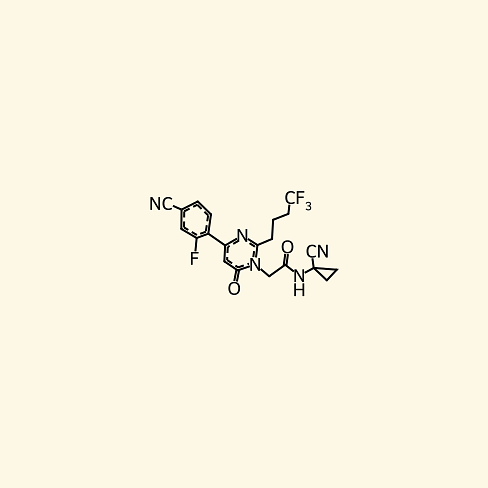 N#Cc1ccc(-c2cc(=O)n(CC(=O)NC3(C#N)CC3)c(CCCC(F)(F)F)n2)c(F)c1